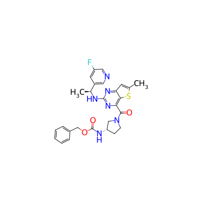 Cc1cc2nc(N[C@@H](C)c3cncc(F)c3)nc(C(=O)N3CC[C@H](NC(=O)OCc4ccccc4)C3)c2s1